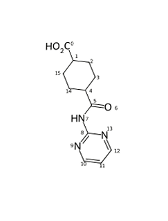 O=C(O)C1CCC(C(=O)Nc2ncccn2)CC1